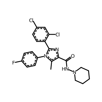 Cc1c(C(=O)NN2CCCCC2)nc(-c2ccc(Cl)cc2Cl)n1-c1ccc(F)cc1